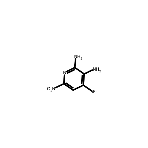 CC(C)c1cc([N+](=O)[O-])nc(N)c1N